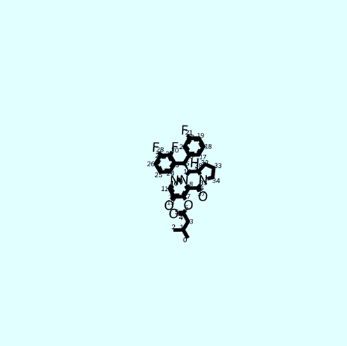 CC(C)CC(=O)Oc1c2n(ncc1=O)[C@@H](C(c1cccc(F)c1)c1cccc(F)c1F)[C@H]1CCCN1C2=O